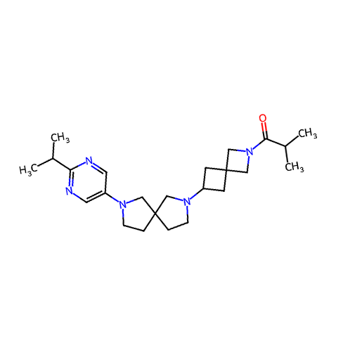 CC(C)C(=O)N1CC2(CC(N3CCC4(CCN(c5cnc(C(C)C)nc5)C4)C3)C2)C1